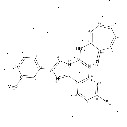 COc1cccc(-c2nc3c4ccc(F)cc4nc(Nc4ccccnc4=O)n3n2)c1